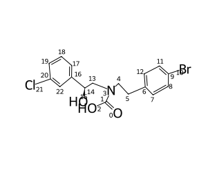 O=C(O)N(CCc1ccc(Br)cc1)C[C@@H](O)c1cccc(Cl)c1